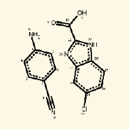 N#Cc1ccc(N)cc1.O=C(O)c1nc2cc(Cl)ccc2[nH]1